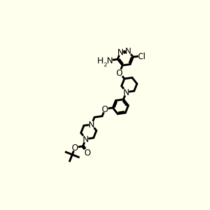 CC(C)(C)OC(=O)N1CCN(CCOc2cccc(N3CCCC(Oc4cc(Cl)nnc4N)C3)c2)CC1